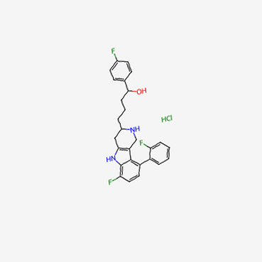 Cl.OC(CCCC1Cc2[nH]c3c(F)ccc(-c4ccccc4F)c3c2CN1)c1ccc(F)cc1